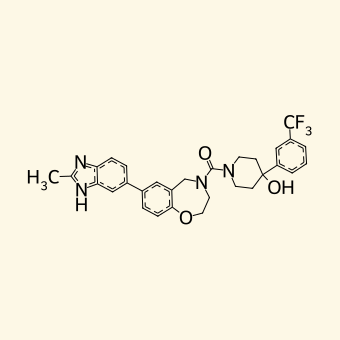 Cc1nc2ccc(-c3ccc4c(c3)CN(C(=O)N3CCC(O)(c5cccc(C(F)(F)F)c5)CC3)CCO4)cc2[nH]1